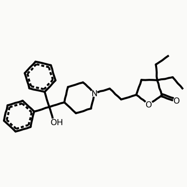 CCC1(CC)CC(CCN2CCC(C(O)(c3ccccc3)c3ccccc3)CC2)OC1=O